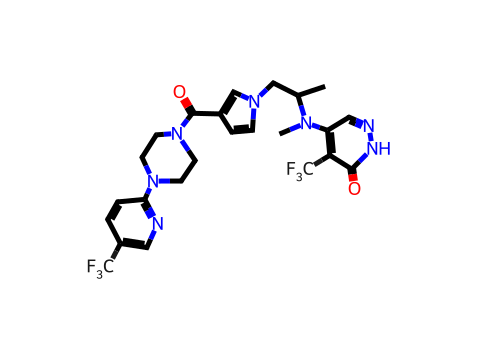 CC(Cn1ccc(C(=O)N2CCN(c3ccc(C(F)(F)F)cn3)CC2)c1)N(C)c1cn[nH]c(=O)c1C(F)(F)F